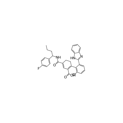 CCCC(NC(=O)C1=CC(C(=O)O)=C(c2c(Cl)cccc2-c2nc3ccccc3[nH]2)CC1)c1ccc(F)cc1